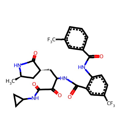 C[C@@H]1C[C@@H](CC(NC(=O)c2cc(C(F)(F)F)ccc2NC(=O)c2cccc(C(F)(F)F)c2)C(=O)C(=O)NC2CC2)C(=O)N1